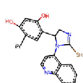 CC(C)c1cc(C2CN=C(S)N2c2ccnc3ccccc23)c(O)cc1O